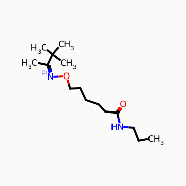 CCCNC(=O)CCCCCO/N=C(/C)C(C)(C)C